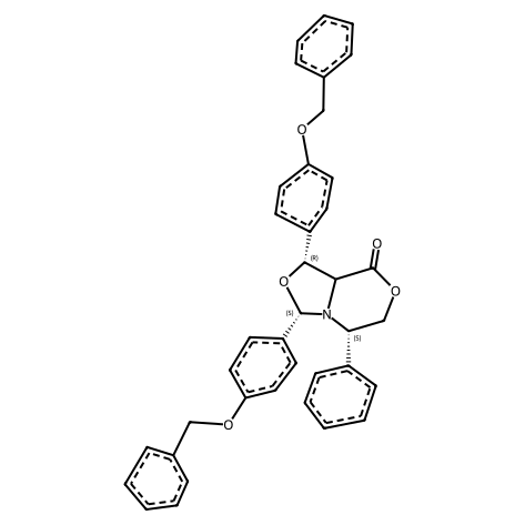 O=C1OC[C@H](c2ccccc2)N2C1[C@@H](c1ccc(OCc3ccccc3)cc1)O[C@H]2c1ccc(OCc2ccccc2)cc1